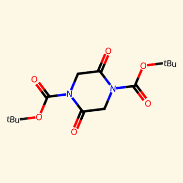 CC(C)(C)OC(=O)N1CC(=O)N(C(=O)OC(C)(C)C)CC1=O